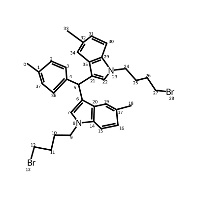 Cc1ccc(C(c2cn(CCCCBr)c3ccc(C)cc23)c2cn(CCCCBr)c3ccc(C)cc23)cc1